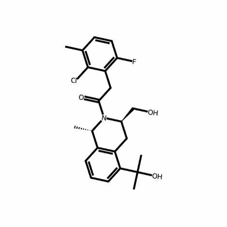 Cc1ccc(F)c(CC(=O)N2[C@@H](CO)Cc3c(cccc3C(C)(C)O)[C@@H]2C)c1Cl